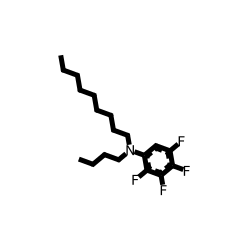 CCCCCCCCCN(CCCC)c1cc(F)c(F)c(F)c1F